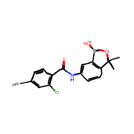 CCCc1ccc(C(=O)Nc2ccc3c(c2)B(O)OC3(C)C)c(Cl)c1